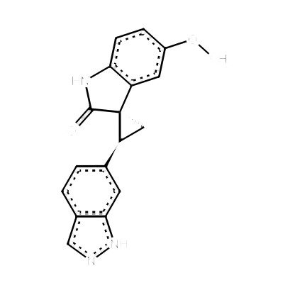 COc1ccc2c(c1)[C@]1(C[C@H]1c1ccc3cn[nH]c3c1)C(=O)N2